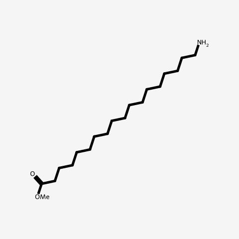 COC(=O)CCCCCCCCCCCCCCCCCN